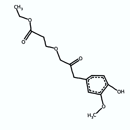 CCOC(=O)CCOCC(=O)Cc1ccc(O)c(OC)c1